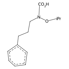 CC(C)ON(CCCc1ccccc1)C(=O)O